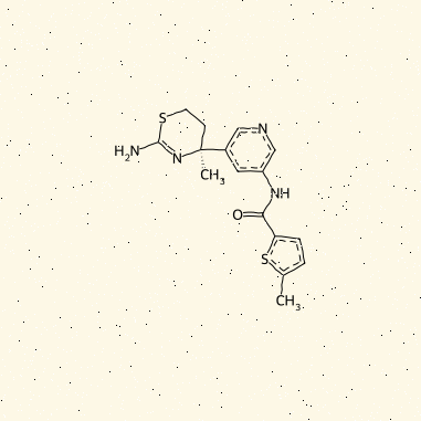 Cc1ccc(C(=O)Nc2cncc([C@]3(C)CCSC(N)=N3)c2)s1